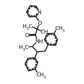 Cc1ccc(CC(c2cccc(C)c2)C(C)NC(=O)C(C)(C)Oc2ccccn2)cc1